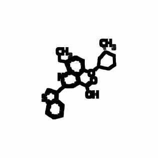 CCc1ccc(O[C@@H]2CCC[C@@H](C)C2)c2c(C(=O)O)cc(-c3csc4ccccc34)nc12